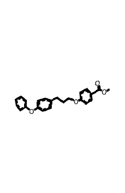 COC(=O)c1ccc(OCCCc2ccc(Oc3ccccc3)cc2)cc1